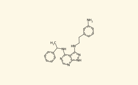 CC(Nc1ncnc2[nH]nc(NCCc3cccc(N)c3)c12)c1ccccc1